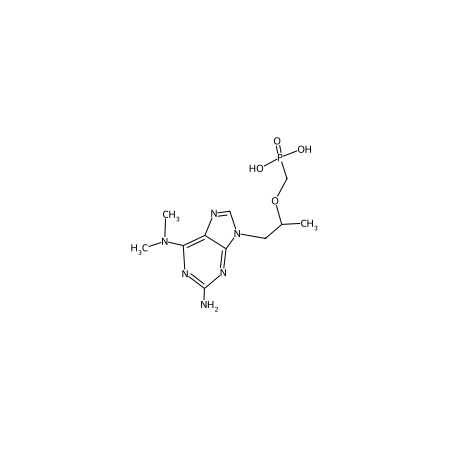 CC(Cn1cnc2c(N(C)C)nc(N)nc21)OCP(=O)(O)O